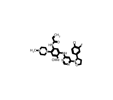 C=CC(=O)Nc1cc(Nc2cc(N3OCCC3c3ccc(Cl)c(F)c3)ncn2)c(OC)cc1N1CCN(C)CC1